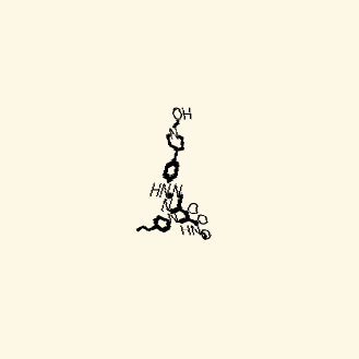 CCCc1ccc(-n2cc(C(=O)NOC)c(=O)c3cnc(Nc4ccc(C5CCN(CCO)CC5)cc4)nc32)cc1